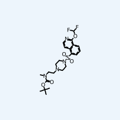 CN(CCN1CCN(S(=O)(=O)c2cccc3c(OC(F)F)nccc23)CC1)C(=O)OC(C)(C)C